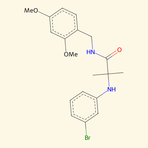 COc1ccc(CNC(=O)C(C)(C)Nc2cccc(Br)c2)c(OC)c1